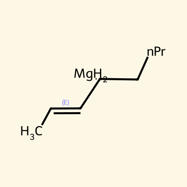 C/C=C/[CH]CCCC.[MgH2]